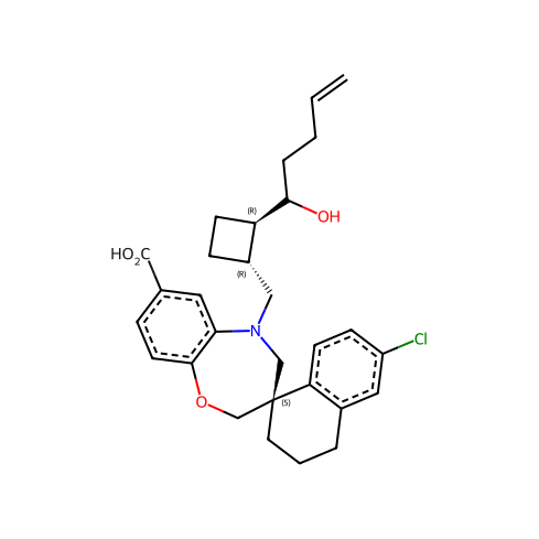 C=CCCC(O)[C@@H]1CC[C@H]1CN1C[C@@]2(CCCc3cc(Cl)ccc32)COc2ccc(C(=O)O)cc21